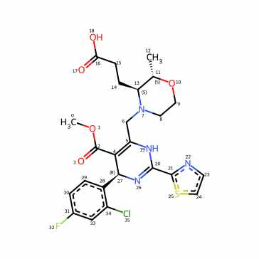 COC(=O)C1=C(CN2CCO[C@@H](C)[C@@H]2CCC(=O)O)NC(c2nccs2)=N[C@H]1c1ccc(F)cc1Cl